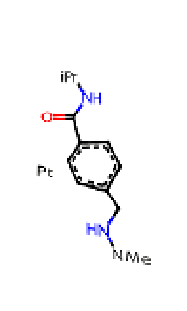 CNNCc1ccc(C(=O)NC(C)C)cc1.[Pt]